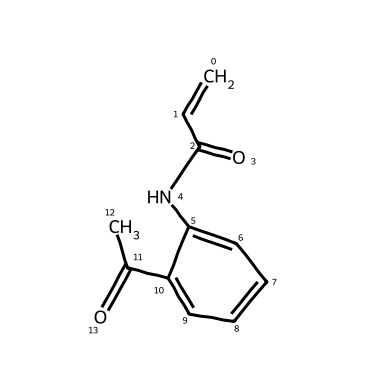 C=CC(=O)Nc1ccccc1C(C)=O